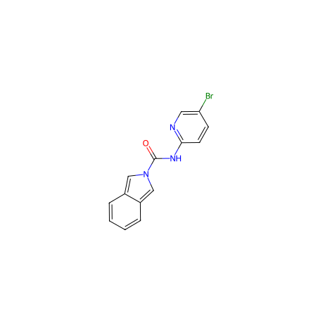 O=C(Nc1ccc(Br)cn1)n1cc2ccccc2c1